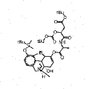 C[C@H](NC(=O)[C@H](CC(=O)OC(C)(C)C)OC(=O)OC(C)(C)C)C(=O)OC1=CC[C@@]2(O)[C@H]3Cc4ccc(O[Si](C)(C)C(C)(C)C)c5c4[C@@]2(CCN3C)[C@H]1O5